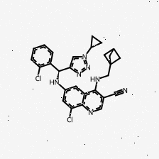 N#Cc1cnc2c(Cl)cc(N[C@H](c3cn(C4CC4)nn3)c3ccccc3Cl)cc2c1NCC12CC(C1)C2